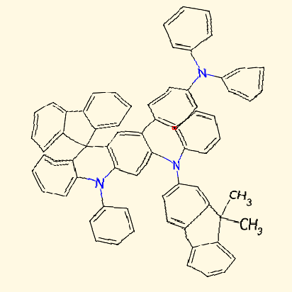 CC1(C)c2ccccc2-c2ccc(N(c3ccccc3)c3cc4c(cc3-c3ccc(N(c5ccccc5)c5ccccc5)cc3)C3(c5ccccc5-c5ccccc53)c3ccccc3N4c3ccccc3)cc21